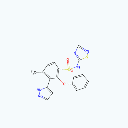 O=S(=O)(Nc1ncns1)c1ccc(C(F)(F)F)c(-c2ccn[nH]2)c1Oc1ccccc1